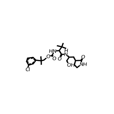 CC(C)(COC(=O)NC(C(=O)NC(CO)CC1CCNC1=O)C(C)(C)C)c1cccc(Cl)c1